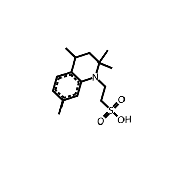 Cc1ccc2c(c1)N(CCS(=O)(=O)O)C(C)(C)CC2C